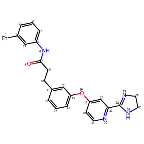 CCc1cccc(NC(=O)CCc2cccc(Oc3ccnc(C4=NCCN4)c3)c2)c1